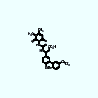 COc1ccc(C(CC(=O)O)NC(=O)NC2C(=O)C=C(C)N(C)C2=O)cc1-c1cccc(OC(F)(F)F)c1